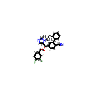 Cc1ccccc1-c1cc(C(OCc2ccc(F)c(F)c2)c2cncn2C)ccc1C#N